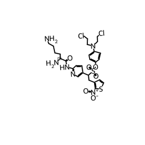 NCCCC[C@H](N)C(=O)Nc1ccc(C(Cc2ccsc2[N+](=O)[O-])S(=O)(=O)Oc2ccc(N(CCCl)CCCl)cc2)cn1